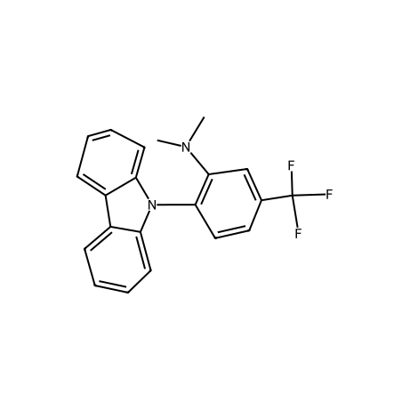 CN(C)c1cc(C(F)(F)F)ccc1-n1c2ccccc2c2ccccc21